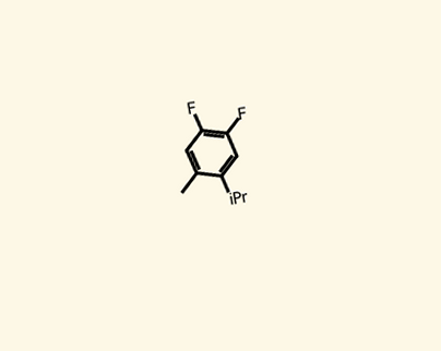 Cc1cc(F)c(F)cc1C(C)C